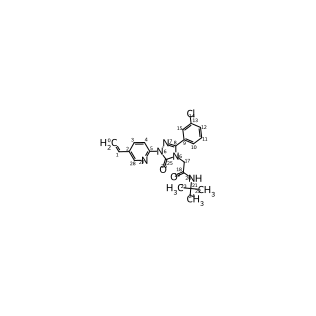 C=Cc1ccc(-n2nc(-c3cccc(Cl)c3)n(CC(=O)NC(C)(C)C)c2=O)nc1